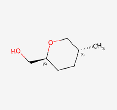 C[C@@H]1CC[C@@H](CO)OC1